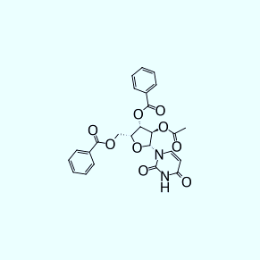 CC(=O)O[C@@H]1[C@@H](OC(=O)c2ccccc2)[C@@H](COC(=O)c2ccccc2)O[C@H]1n1ccc(=O)[nH]c1=O